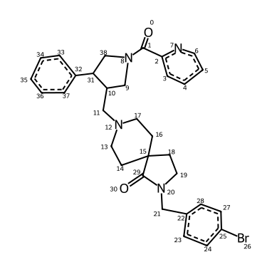 O=C(c1ccccn1)N1CC(CN2CCC3(CC2)CCN(Cc2ccc(Br)cc2)C3=O)C(c2ccccc2)C1